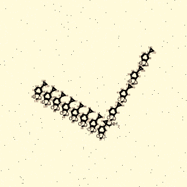 NCC1(c2ccc3c(c2)OCO3)CC1.c1cc2c(cc1C1CC1)OCO2.c1cc2c(cc1C1CC1)OCO2.c1cc2c(cc1C1CC1)OCO2.c1cc2c(cc1C1CC1)OCO2.c1cc2c(cc1C1CC1)OCO2.c1cc2c(cc1C1CC1)OCO2.c1cc2c(cc1C1CC1)OCO2.c1cc2c(cc1C1CC1)OCO2.c1cc2c(cc1C1CC1)OCO2.c1cc2c(cc1C1CC1)OCO2.c1cc2c(cc1C1CC1)OCO2